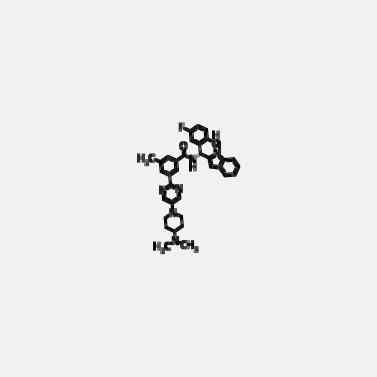 Cc1cc(C(=O)N[C@@H](c2cc3ccccc3[nH]2)c2cc(F)ccc2O)cc(-c2ncc(N3CCC(N(C)C)CC3)cn2)c1